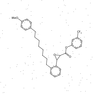 COc1ccc(CCCCCCCCc2ccccc2C2OC2C(=O)Oc2cccc(C(F)(F)F)c2)cc1